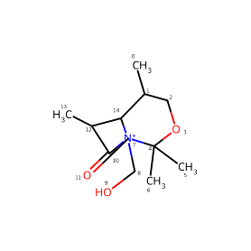 CC1COC(C)(C)[N+]2(CO)C(=O)C(C)C12